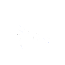 Cc1cn(-c2ccc(/C=C/c3nc4n(n3)CCC[C@]4(O)c3ccc(C#N)cc3)cc2C)cn1